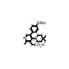 COc1ccc(-c2cnc(C)c(CC(=O)O)c2N2CCC(C)(C)CC2)cc1